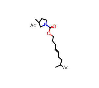 CC(=O)C(C)CC/C=C/CCCOC(=O)N1CC[C@@](C)(C(C)=O)C1